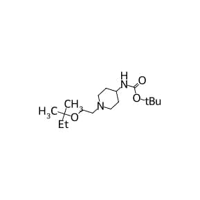 CCC(C)(C)OCCN1CCC(NC(=O)OC(C)(C)C)CC1